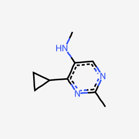 CNc1cnc(C)nc1C1CC1